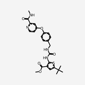 CNC(=O)c1cc(Oc2ccc(CNC(=O)Nc3sc(C(C)(C)C)cc3C(=O)OC)cc2)ccn1